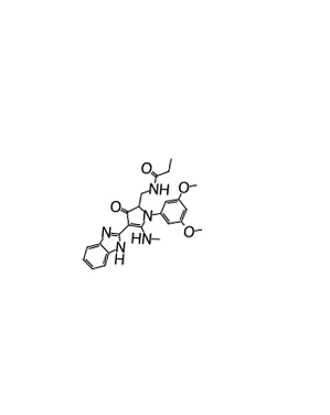 CCC(=O)NCC1C(=O)C(c2nc3ccccc3[nH]2)=C(NC)N1c1cc(OC)cc(OC)c1